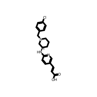 O=C(O)C=Cc1ccc(N[C@@H]2CCCN(Cc3ccc(Cl)cc3)C2)nc1